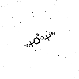 CC(C)(CO)COc1ccc(C(C)(C)O)cc1Br